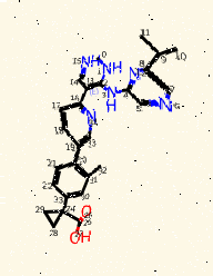 CN/C(Nc1cncc(C(C)C)n1)=C(\C=N)c1ccc(-c2ccc(C3(C(=O)O)CC3)cc2C)cn1